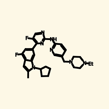 CCN1CCN(Cc2ccc(Nc3ncc(F)c(-c4cc(F)c5cc(C)n(C6CCCC6)c5c4)n3)nc2)CC1